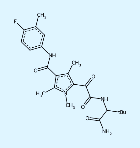 Cc1cc(NC(=O)c2c(C)c(C(=O)C(=O)NC(C(N)=O)C(C)(C)C)n(C)c2C)ccc1F